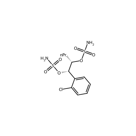 CCC[C@H](OS(N)(=O)=O)[C@@H](OS(N)(=O)=O)c1ccccc1Cl